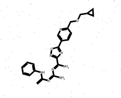 C=C(/N=C(N)\N=C(/N)c1noc(-c2ccc(COCC3CC3)nc2)n1)Nc1ccccc1